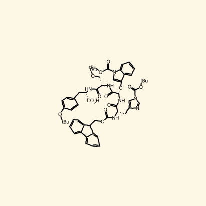 CC(C)(C)OC[C@H](NC(=O)[C@H](Cc1cn(C(=O)OC(C)(C)C)c2ccccc12)NC(=O)[C@H](Cc1cn(C(=O)OC(C)(C)C)cn1)NC(=O)OCC1c2ccccc2-c2ccccc21)C(=O)N[C@@H](Cc1ccc(OC(C)(C)C)cc1)C(=O)O